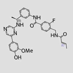 C/C=C/C(=O)NCc1ccc(C(=O)Nc2cccc([C@H](C)Nc3cncc(-c4ccc(O)c(OC)c4)n3)c2)cc1F